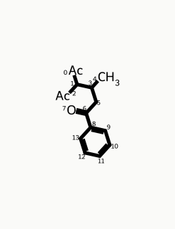 CC(=O)C(C(C)=O)C(C)CC(=O)c1ccccc1